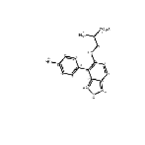 CCOC(=O)C(C)CSc1ccc2nsnc2c1-c1ccc(C#N)cc1